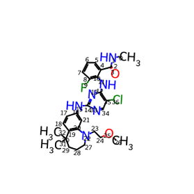 CNC(=O)c1cccc(F)c1Nc1nc(Nc2ccc3c(c2)N(CCOC)CCCC3(C)C)ncc1Cl